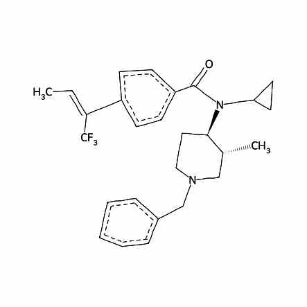 C/C=C(/c1ccc(C(=O)N(C2CC2)[C@@H]2CCN(Cc3ccccc3)C[C@H]2C)cc1)C(F)(F)F